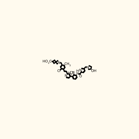 Cc1cc(/C=C/c2nccc(-c3cccc(NC(=O)c4ccc(CN5CC[C@@H](O)C5)cn4)c3C)c2C#N)c(Cl)cc1CN1CC2(CC(C(=O)O)C2)C1